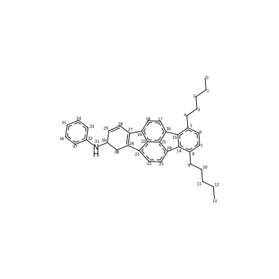 CCCCCc1ccc(CCCCC)c2c1-c1ccc3c4c(ccc-2c14)C1=C3C=CC(Nc2ccccc2)C1